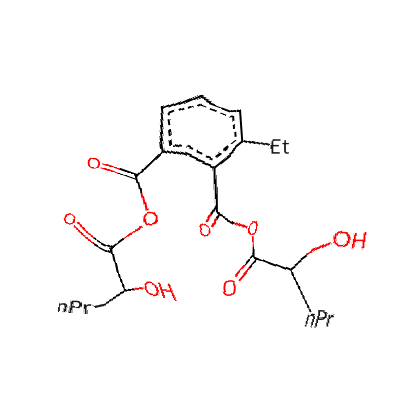 CCCC(O)C(=O)OC(=O)c1cccc(CC)c1C(=O)OC(=O)C(O)CCC